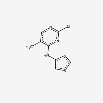 Cc1cnc(Cl)nc1Nc1ccsc1